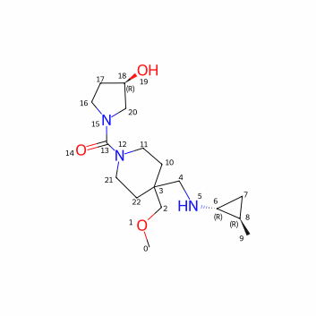 COCC1(CN[C@@H]2C[C@H]2C)CCN(C(=O)N2CC[C@@H](O)C2)CC1